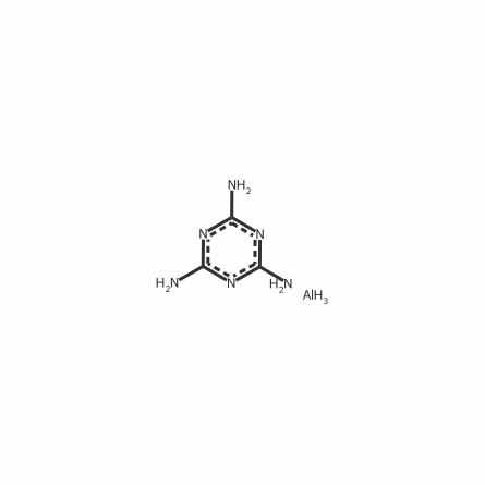 Nc1nc(N)nc(N)n1.[AlH3]